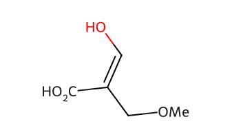 COCC(=CO)C(=O)O